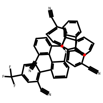 N#Cc1ccc2c(c1)c1ccccc1n2-c1cccc(C#N)c1-c1c(-c2ccc(C(F)(F)F)cc2C#N)cccc1-n1c2ccccc2c2cc(C#N)ccc21